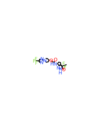 CC(F)(F)c1c2c(n[nH]c1=O)[C@H](NC(=O)COC1CCN(c3ncc(C(F)(F)F)cn3)CC1)CC2